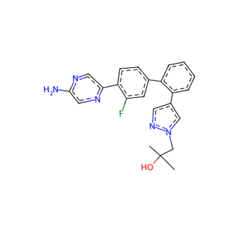 CC(C)(O)Cn1cc(-c2ccccc2-c2ccc(-c3cnc(N)cn3)c(F)c2)cn1